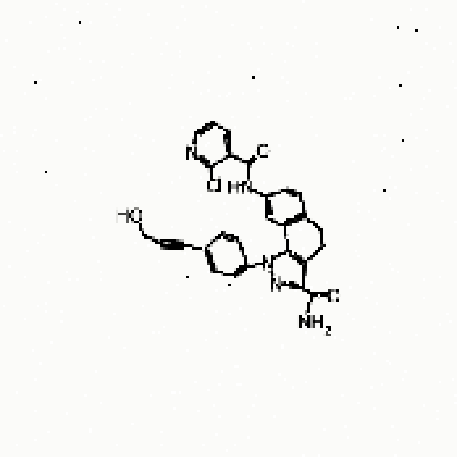 NC(=O)c1nn(-c2ccc(C#CCO)cc2)c2c1CCc1ccc(NC(=O)c3cccnc3Cl)cc1-2